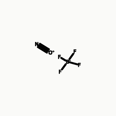 F[B-](F)(F)F.N#[O+]